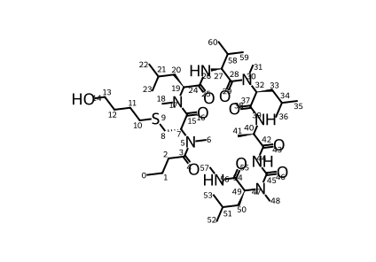 CCCC(=O)N(C)[C@H](CSCCCCO)C(=O)N(C)[C@@H](CC(C)C)C(=O)N[C@H](C(=O)N(C)[C@@H](CC(C)C)C(=O)N[C@H](C)C(=O)NC(=O)N(C)[C@@H](CC(C)C)C(=O)NC)C(C)C